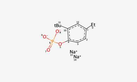 CCc1ccc(OP(=O)([O-])[O-])c(C(C)(C)C)c1.[Na+].[Na+]